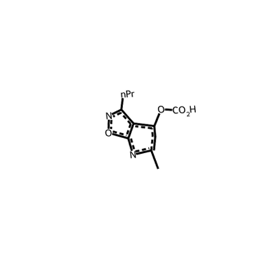 CCCc1noc2nc(C)cc(OC(=O)O)c12